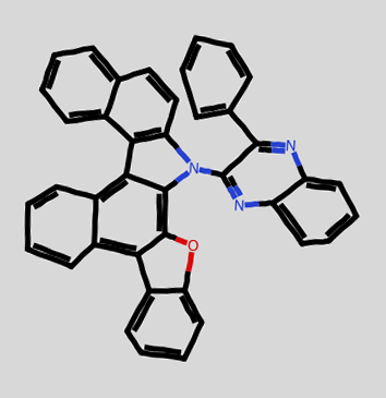 c1ccc(-c2nc3ccccc3nc2-n2c3ccc4ccccc4c3c3c4ccccc4c4c5ccccc5oc4c32)cc1